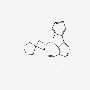 NC(=O)c1cncc2c3ccccc3n(N3CC4(CCNC4)C3)c12